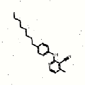 CCCCCCCCc1ccc(Nc2nccc(C)c2C#N)cc1